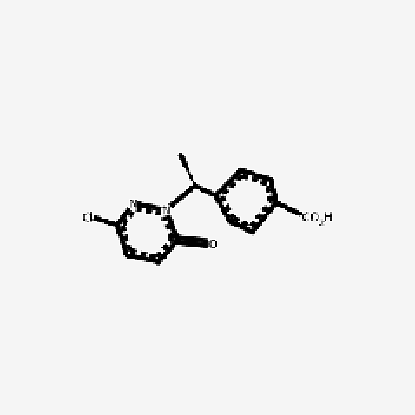 C[C@@H](c1ccc(C(=O)O)cc1)n1nc(Cl)ccc1=O